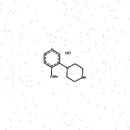 COc1ccncc1N1CCNCC1.Cl